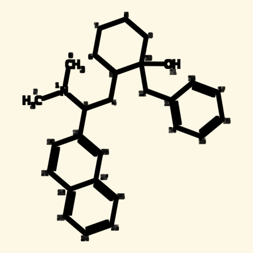 CN(C)C(CC1CCCCC1(O)Cc1ccccc1)c1ccc2ccccc2c1